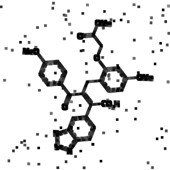 COC(=O)COc1cc(OC)ccc1CC(C(=O)c1ccc(OC)cc1)=C(C(=O)O)c1ccc2nsnc2c1